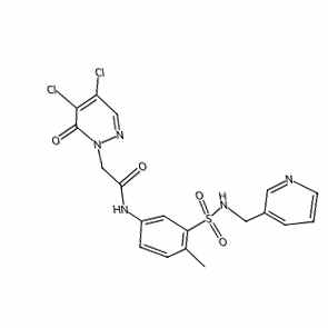 Cc1ccc(NC(=O)Cn2ncc(Cl)c(Cl)c2=O)cc1S(=O)(=O)NCc1cccnc1